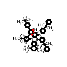 Cc1cc2c3c(c1)N(c1ccc(C(C)(C)C)cc1-c1cccc(-c4ccc(C(C)(C)C)cc4)c1)c1cc4c(cc1B3c1cc(C(C)(C)c3ccccc3)ccc1N2c1ccc(C(C)(C)c2ccccc2)cc1)C(C)(C)CCC4(C)C